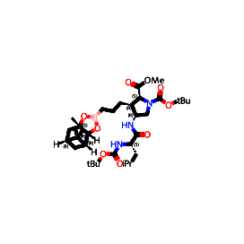 COC(=O)[C@@H]1[C@H](CCCB2O[C@@H]3[C@@H]4C[C@H](C[C@]3(C)O2)C4(C)C)[C@@H](NC(=O)[C@H](CC(C)C)NC(=O)OC(C)(C)C)CN1C(=O)OC(C)(C)C